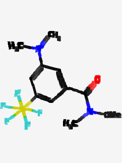 C=[N+](C)c1cc(C(=O)N(C)OC)cc(S(F)(F)(F)(F)F)c1